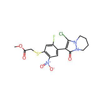 COC(=O)CSc1cc(F)c(-c2c(Cl)n3n(c2=O)CCCC3)cc1[N+](=O)[O-]